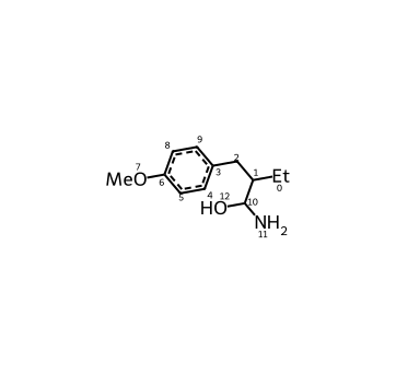 CCC(Cc1ccc(OC)cc1)C(N)O